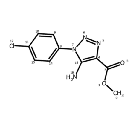 COC(=O)c1nnn(-c2ccc(Cl)cc2)c1N